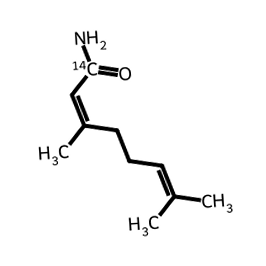 CC(C)=CCC/C(C)=C\[14C](N)=O